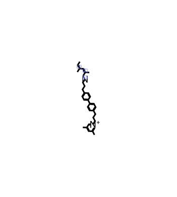 C\C=C(C)/C=C(C)\C=N\CCCc1ccc(-c2ccc(CCC[n+]3cc(C)cc(C)c3)cc2)cc1